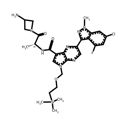 C[C@@H](NC(=O)c1cn(COCC[Si](C)(C)C)c2ncc(-c3nn(C)c4cc(Cl)cc(F)c34)nc12)C(=O)N1CC(N)C1